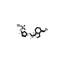 C[C@H](C[C@@H]1C=C[C@@](C)(O[Si](C)(C)C(C)(C)C)C1)[C@H]1CCC2/C(=C/Br)CCC[C@@]21C